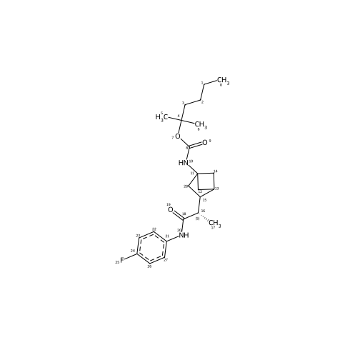 CCCCC(C)(C)OC(=O)NC12CC(C1)C([C@H](C)C(=O)Nc1ccc(F)cc1)C2